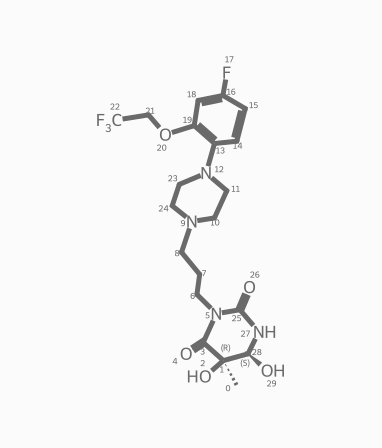 C[C@]1(O)C(=O)N(CCCN2CCN(c3ccc(F)cc3OCC(F)(F)F)CC2)C(=O)N[C@H]1O